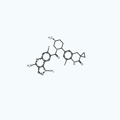 C[C@H]1CCC(c2cc(F)c3c(c2)CC2(CC2)C(=O)N3)N(C(=O)c2cc3c(cc2F)nc(N)c2cnn(C)c23)C1